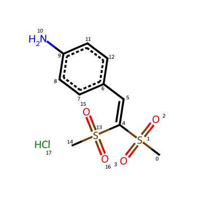 CS(=O)(=O)C(=Cc1ccc(N)cc1)S(C)(=O)=O.Cl